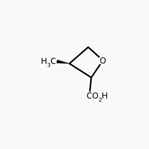 C[C@H]1COC1C(=O)O